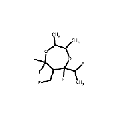 CC1OC(F)(F)C(CF)C(F)(C(C)F)OC1C